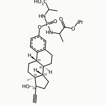 C#C[C@]1(O)CC[C@H]2[C@@H]3CCc4cc(OP(=O)(NC(C)C(=O)O)NC(C)C(=O)OC(C)C)ccc4[C@H]3CC[C@@]21C